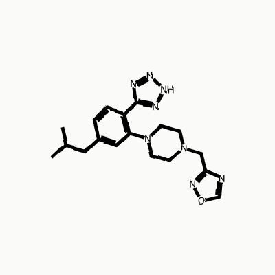 CC(C)Cc1ccc(-c2nn[nH]n2)c(N2CCN(Cc3ncon3)CC2)c1